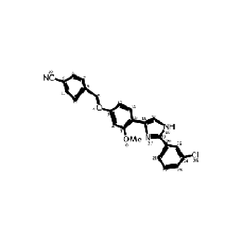 COc1cc(OCc2ccc(C#N)cc2)ccc1-c1c[nH]c(-c2cccc(Cl)c2)n1